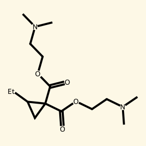 CCC1CC1(C(=O)OCCN(C)C)C(=O)OCCN(C)C